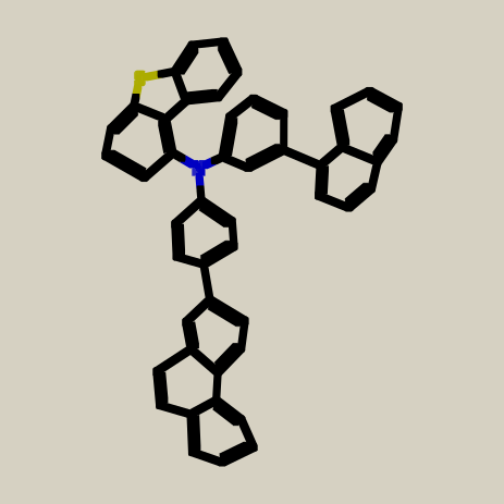 c1cc(-c2cccc3ccccc23)cc(N(c2ccc(-c3ccc4c(ccc5ccccc54)c3)cc2)c2cccc3sc4ccccc4c23)c1